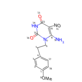 COc1ccc(CCn2c(N)c(N=O)c(=O)[nH]c2=O)cc1